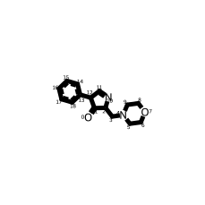 O=C1C(CN2CCOCC2)N=CC1c1ccccc1